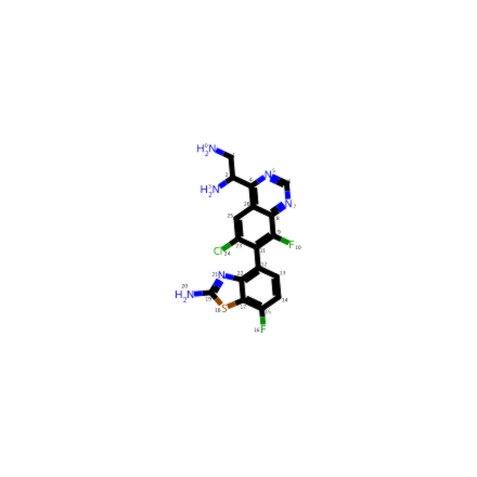 NCC(N)c1ncnc2c(F)c(-c3ccc(F)c4sc(N)nc34)c(Cl)cc12